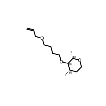 C=CCOCCCCO[C@H]1[C@H](C)OCC[C@@H]1C